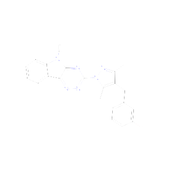 CCn1c2ccccc2c2nnc(-n3nc(C)c(Cc4cccc(O)c4)c3C)nc21